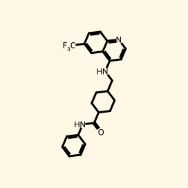 O=C(Nc1ccccc1)C1CCC(CNc2ccnc3ccc(C(F)(F)F)cc23)CC1